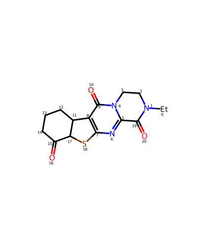 CCN1CCn2c(nc3c(c2=O)C2CCCC(=O)C2S3)C1=O